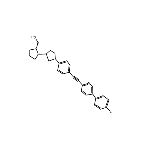 OC[C@@H]1CCCN1C1CCC(c2ccc(C#Cc3ccc(-c4ccc(Cl)cc4)cn3)cc2)C1